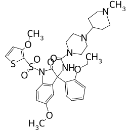 CCOc1ccccc1C1(NC(=O)N2CCN(C3CCN(C)CC3)CC2)C(=O)N(S(=O)(=O)c2sccc2OC)c2ccc(OC)cc21